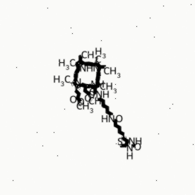 C=Cc1c(C)c2cc3nc(c(CC(=O)OC)c4[nH]c(cc5nc(cc1[nH]2)C(C)=C5CC)c(C)c4C(=O)NCCCCCCNC(=O)CCCC[C@@H]1SCC2NC(=O)NC21)[C@@H](CCC(=O)OC)[C@@H]3CC